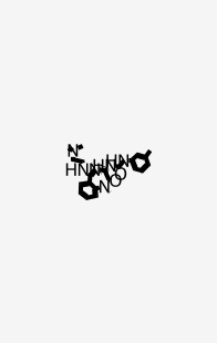 Cc1cccc(NC(=O)N[C@@H]2N=C(NCCN(C)C)c3ccccc3N(C)C2=O)c1